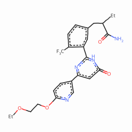 CCOCCOc1ccc(-c2cc(=O)[nH]c(-c3cc(CC(CC)C(N)=O)ccc3C(F)(F)F)n2)cn1